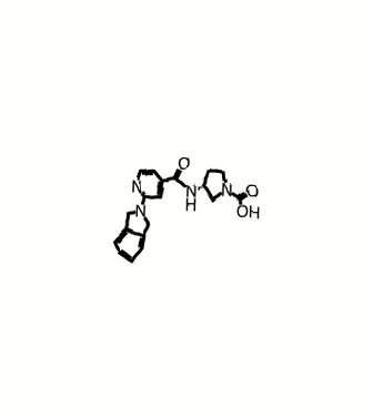 O=C(N[C@@H]1CCN(C(=O)O)C1)c1ccnc(N2Cc3ccccc3C2)c1